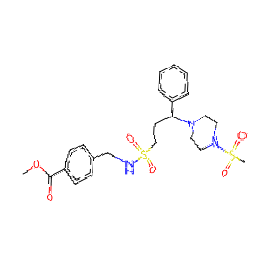 COC(=O)c1ccc(CNS(=O)(=O)CCC(c2ccccc2)N2CCN(S(C)(=O)=O)CC2)cc1